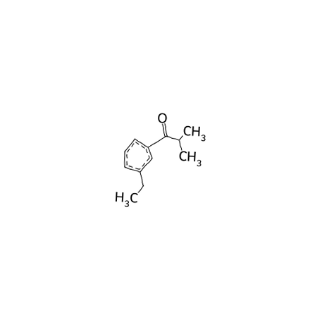 CCc1cccc(C(=O)C(C)C)c1